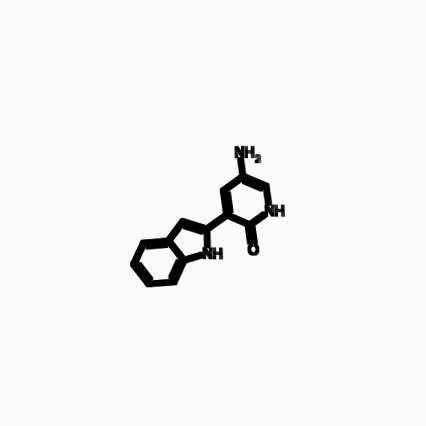 Nc1c[nH]c(=O)c(-c2cc3ccccc3[nH]2)c1